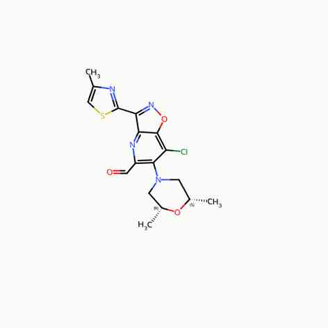 Cc1csc(-c2noc3c(Cl)c(N4C[C@@H](C)O[C@@H](C)C4)c(C=O)nc23)n1